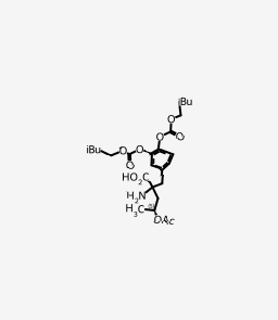 CCC(C)COC(=O)Oc1ccc(CC(N)(C[C@H](C)OC(C)=O)C(=O)O)cc1OC(=O)OCC(C)CC